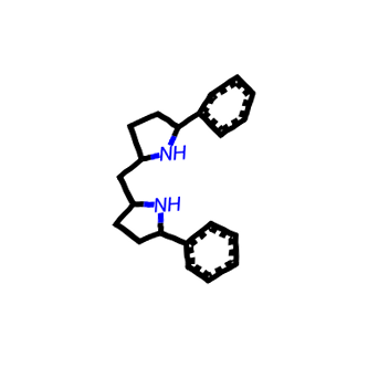 c1ccc(C2CCC(CC3CCC(c4ccccc4)N3)N2)cc1